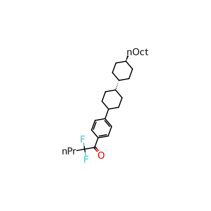 CCCCCCCC[C@H]1CC[C@H](C2CCC(c3ccc(C(=O)C(F)(F)CCC)cc3)CC2)CC1